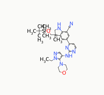 CCn1ncc(Nc2nccc(-c3cc(C#N)c4c(c3)[C@@](C)(CO[Si](C)(C)C(C)(C)C)CN4)n2)c1N1CCOCC1